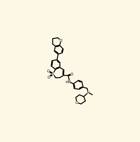 CN(Cc1ccc(NC(=O)C2=Cc3cc(-c4ccc5c(c4)CCCO5)ccc3S(=O)(=O)CC2)cc1)C1CCOCC1